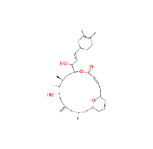 C=C1CC(C)CC2CC=CC(C)(C/C=C\C(=O)OC(C(O)/C=C/C3CCC(C)=C(C)C3)C[C@H](C)C(C)[C@@H](O)C1)O2